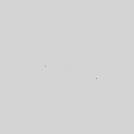 CC1C=CC(c2csc(-c3ccncc3)n2)C(=O)N1